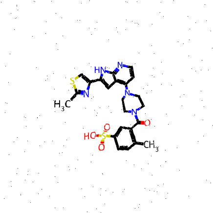 Cc1nc(-c2cc3c(N4CCN(C(=O)c5cc(S(=O)(=O)O)ccc5C)CC4)ccnc3[nH]2)cs1